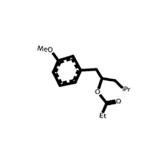 CCC(=O)OC(Cc1cccc(OC)c1)CC(C)C